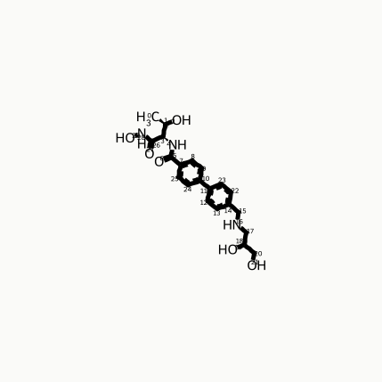 C[C@@H](O)[C@H](NC(=O)c1ccc(-c2ccc(CNCC(O)CO)cc2)cc1)C(=O)NO